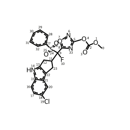 COC(=O)Oc1noc(C(F)(C2Cc3[nH]c4ccc(Cl)cc4c3C2)S(=O)(=O)c2ccccc2)n1